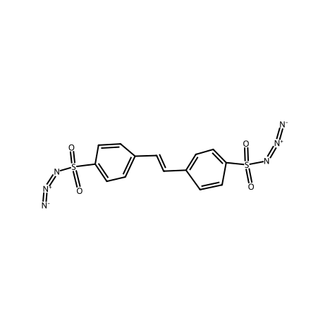 [N-]=[N+]=NS(=O)(=O)c1ccc(/C=C/c2ccc(S(=O)(=O)N=[N+]=[N-])cc2)cc1